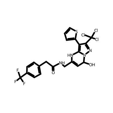 O=C(Cc1ccc(C(F)(F)F)cc1)NCC1=CC(O)n2nc(C(Cl)(Cl)Cl)c(-c3cccs3)c2N1